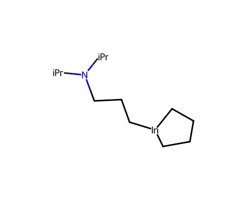 CC(C)N(CC[CH2][In]1[CH2]CC[CH2]1)C(C)C